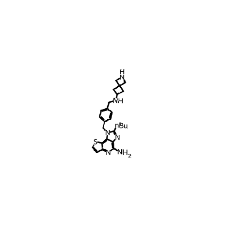 CCCCc1nc2c(N)nc3ccsc3c2n1Cc1ccc(CNC2CC3(CNC3)C2)cc1